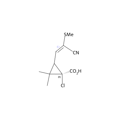 CS/C(C#N)=C/C1C(C)(C)[C@@]1(Cl)C(=O)O